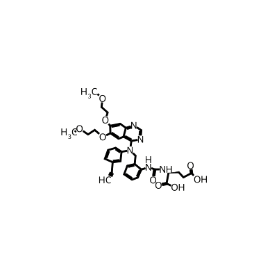 C#Cc1cccc(N(Cc2ccccc2NC(=O)N[C@@H](CCC(=O)O)C(=O)O)c2ncnc3cc(OCCOC)c(OCCOC)cc23)c1